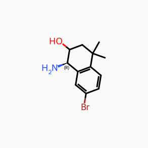 CC1(C)CC(O)[C@H](N)c2cc(Br)ccc21